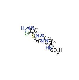 C[Si]1(CNC(=O)O)CCN(c2cnc3nc(Sc4ccnc(N)c4Cl)ccc3n2)CC1